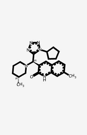 Cc1ccc2cc([C@H](c3nnnn3C3CCCC3)N3CCC[C@@H](C)C3)c(=O)[nH]c2c1